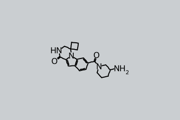 NC1CCCN(C(=O)c2ccc3cc4n(c3c2)C2(CCC2)CNC4=O)C1